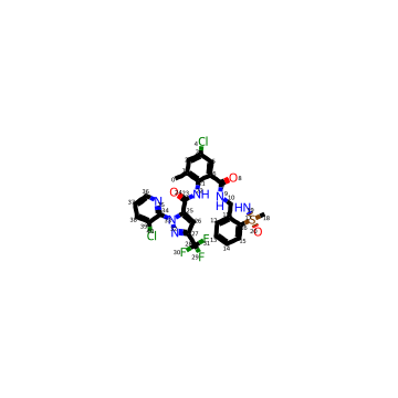 Cc1cc(Cl)cc(C(=O)NCc2ccccc2S(C)(=N)=O)c1NC(=O)c1cc(C(F)(F)F)nn1-c1ncccc1Cl